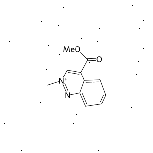 COC(=O)c1c[n+](C)nc2ccccc12